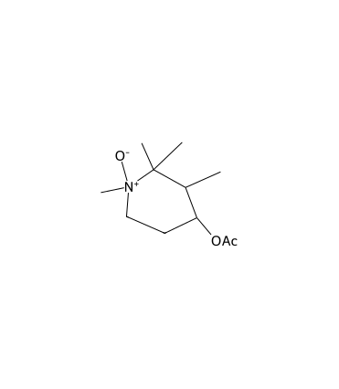 CC(=O)OC1CC[N+](C)([O-])C(C)(C)C1C